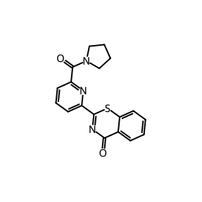 O=C(c1cccc(-c2nc(=O)c3ccccc3s2)n1)N1CCCC1